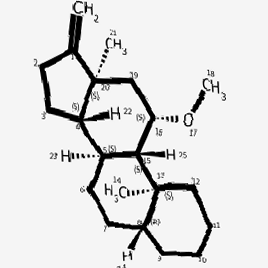 C=C1CC[C@H]2[C@@H]3CC[C@H]4CCCC[C@]4(C)[C@H]3[C@@H](OC)C[C@]12C